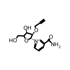 C#CCO[C@@H]1[C@H](O)C(CO)O[C@H]1[n+]1cccc(C(N)=O)c1